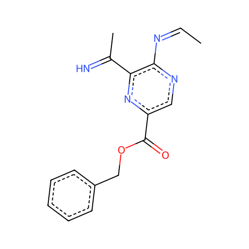 C/C=N\c1ncc(C(=O)OCc2ccccc2)nc1C(C)=N